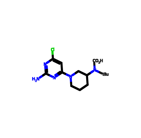 CC(C)(C)N(C(=O)O)C1CCCN(c2cc(Cl)nc(N)n2)C1